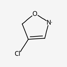 ClC1=C[N]OC1